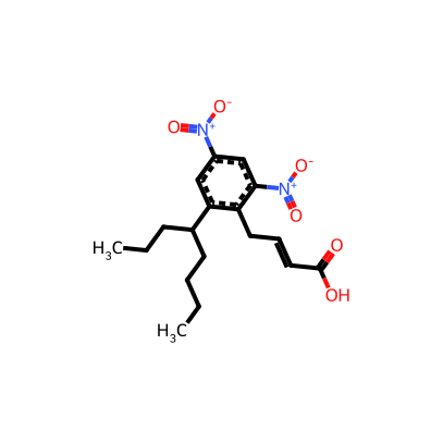 CCCCC(CCC)c1cc([N+](=O)[O-])cc([N+](=O)[O-])c1C/C=C/C(=O)O